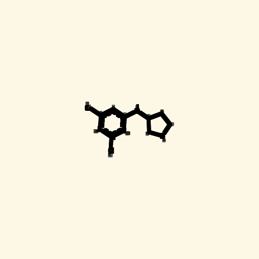 Clc1cc(OC2CCOC2)nc(Cl)n1